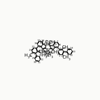 Cc1ccc(-c2cccc3c2C=C2[CH]3[Hf]([CH3])([CH3])[CH]3C(=Cc4c(-c5ccc(C)c(-c6ccccc6)c5C)cccc43)[Si]2(C(C)C)C(C)C)c(C)c1-c1ccccc1